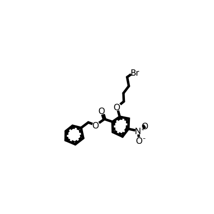 O=C(OCc1ccccc1)c1ccc([N+](=O)[O-])cc1OCCCCBr